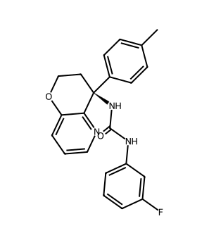 Cc1ccc([C@@]2(NC(=O)Nc3cccc(F)c3)CCOc3cccnc32)cc1